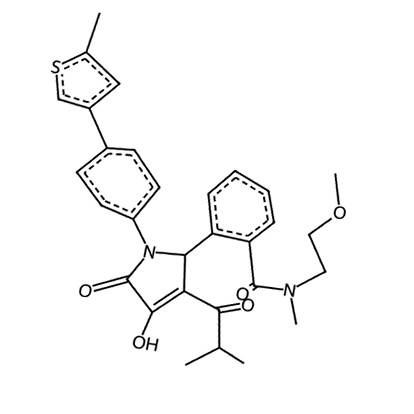 COCCN(C)C(=O)c1ccccc1C1C(C(=O)C(C)C)=C(O)C(=O)N1c1ccc(-c2csc(C)c2)cc1